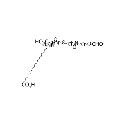 O=[C]COCCOCCNC(=O)COCCOCCNC(=O)CC[C@H](NC(=O)CCCCCCCCCCCCCCCCCCCCC(=O)O)C(=O)O